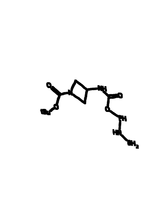 BNPOC(=O)NC1CN(C(=O)OC(C)(C)C)C1